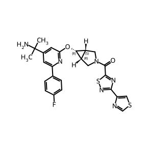 CC(C)(N)c1cc(O[C@@H]2[C@@H]3CN(C(=O)c4nc(-c5cscn5)ns4)C[C@@H]32)nc(-c2ccc(F)cc2)c1